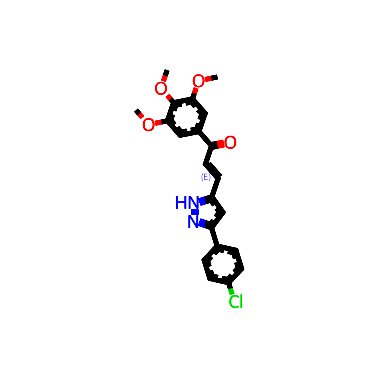 COc1cc(C(=O)/C=C/c2cc(-c3ccc(Cl)cc3)n[nH]2)cc(OC)c1OC